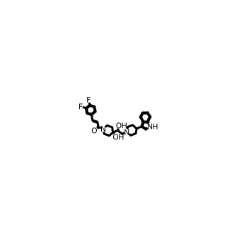 O=C(/C=C/c1ccc(F)c(F)c1)N1CCC(O)(C(O)CN2CCC(c3c[nH]c4ccccc34)CC2)CC1